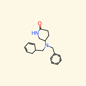 O=C1CCC(N(Cc2ccccc2)CC2C=CC=CC2)CN1